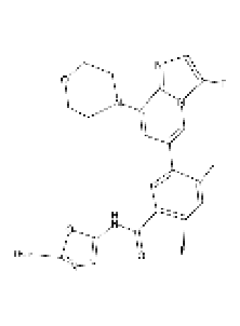 Cc1cc(F)c(C(=O)Nc2cnc(C(C)(C)C)o2)cc1-c1cc(N2CCOCC2)c2ncc(F)n2c1